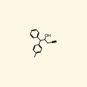 C#CCC(O)C(c1ccccc1)c1ccc(C)cc1